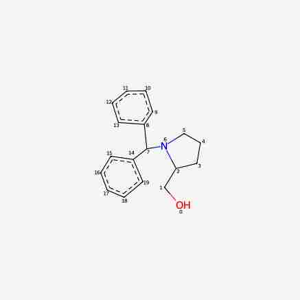 OCC1CCCN1C(c1ccccc1)c1ccccc1